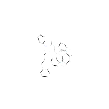 C(C=Cc1ccccc1)=CC[NH2+]c1ccccc1.CCCC[B-](c1c(F)cccc1F)(c1c(F)cccc1F)c1c(F)cccc1F